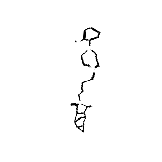 COc1ccccc1N1CCN(CCCCN2C(=O)C3C4C=CC(C5CC45)C3C2=O)CC1